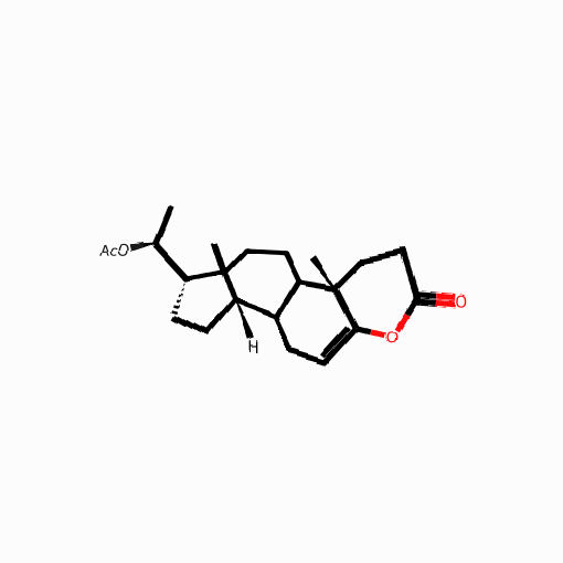 CC(=O)O[C@@H](C)[C@H]1CC[C@H]2C3CC=C4OC(=O)CC[C@@]4(C)C3CCC12C